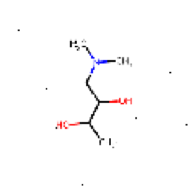 [CH2]C(O)C(O)CN(C)C